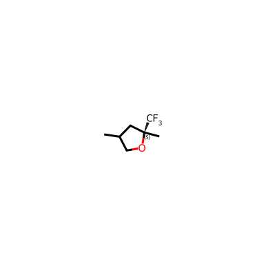 CC1CO[C@](C)(C(F)(F)F)C1